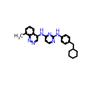 Cc1cccc2c(Nc3ccnc(Nc4ccc(CC5CCCCC5)cc4)n3)cnnc12